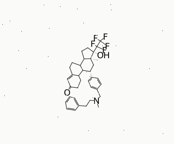 CN(CCc1ccccc1)Cc1ccc([C@H]2C[C@@]3(C)C(CC[C@@]3(O)C(F)(F)C(F)(F)F)C3CCC4=CC(=O)CCC4C32)cc1